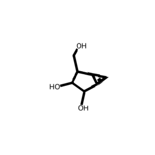 OCC1C2C=C2C(O)C1O